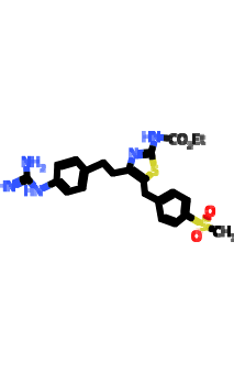 CCOC(=O)Nc1nc(CCc2ccc(NC(=N)N)cc2)c(Cc2ccc(S(C)(=O)=O)cc2)s1